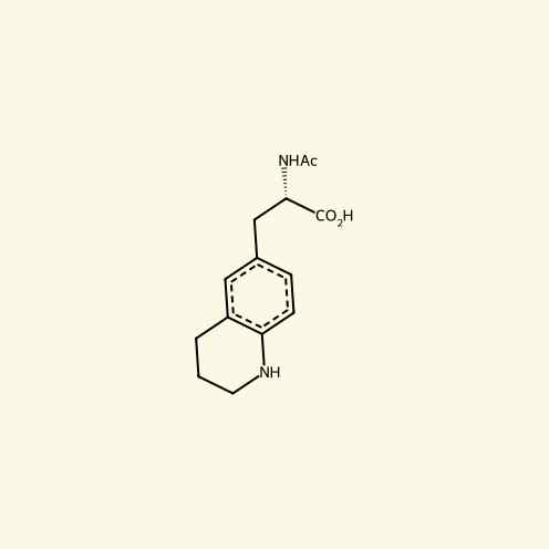 CC(=O)N[C@@H](Cc1ccc2c(c1)CCCN2)C(=O)O